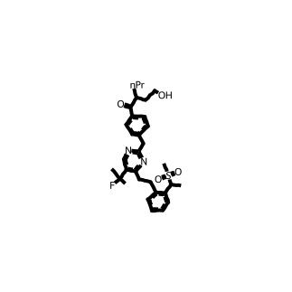 CCCC(CCO)C(=O)c1ccc(Cc2ncc(C(C)(C)F)c(CCc3ccccc3C(C)S(C)(=O)=O)n2)cc1